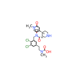 CN(CCc1cc(Cl)c(Cl)c(CN(C(=O)[C@H]2CNCC[C@@H]2c2ccn(C)c(=O)c2)C2CC2)c1)C(=O)O